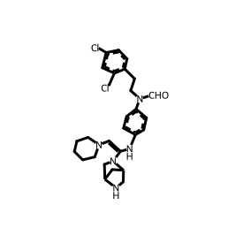 O=CN(CCc1ccc(Cl)cc1Cl)c1ccc(N/C(=C/N2CCCCC2)N2CC3CC2CN3)cc1